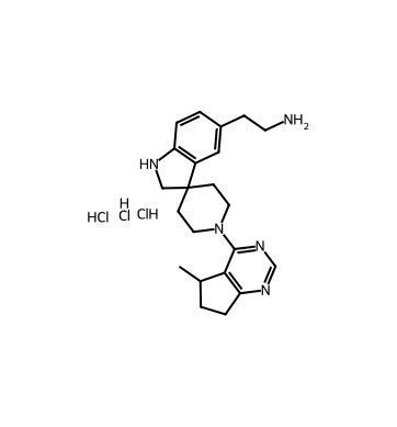 CC1CCc2ncnc(N3CCC4(CC3)CNc3ccc(CCN)cc34)c21.Cl.Cl.Cl